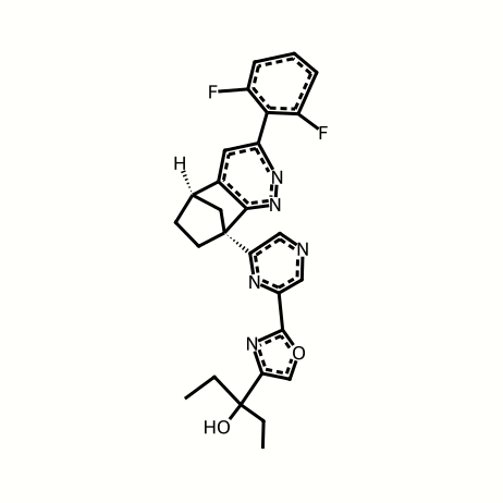 CCC(O)(CC)c1coc(-c2cncc([C@]34CC[C@H](C3)c3cc(-c5c(F)cccc5F)nnc34)n2)n1